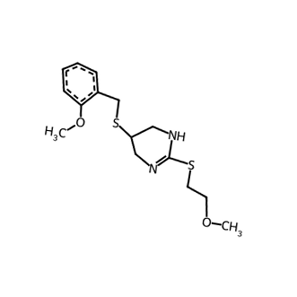 COCCSC1=NCC(SCc2ccccc2OC)CN1